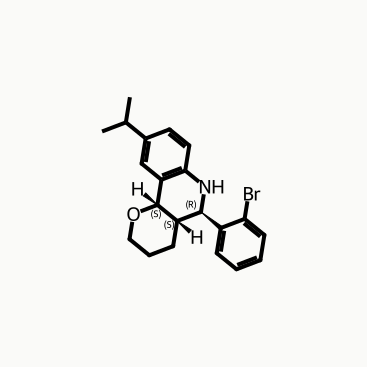 CC(C)c1ccc2c(c1)[C@H]1OCCC[C@H]1[C@H](c1ccccc1Br)N2